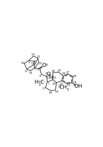 C[C@@]1(C(=O)CC(=O)C23CC4CC(CC(C4)C2)C3)CCC[C@]2(C)c3cc(O)ccc3CC[C@@H]12